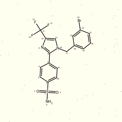 NS(=O)(=O)c1ccc(-c2nc(C(F)(F)F)cn2Cc2cccc(Br)c2)cc1